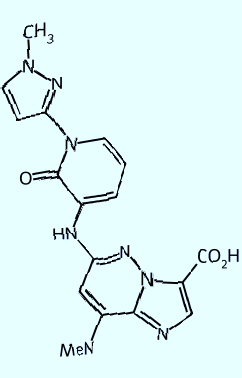 CNc1cc(Nc2cccn(-c3ccn(C)n3)c2=O)nn2c(C(=O)O)cnc12